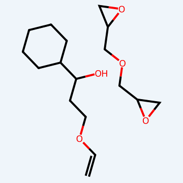 C(OCC1CO1)C1CO1.C=COCCC(O)C1CCCCC1